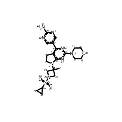 CC1(N2CCc3c(-c4cnc(N)nc4)nc(N4CCOCC4)nc32)CN(S(=O)(=O)C2CC2)C1